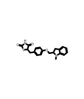 CN1c2ccccc2CC1COc1ccc(CC2SC(=O)NC2=O)cc1